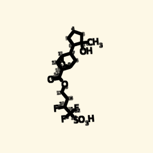 CC1(O)CCCC1C1CC2OC1CC2C(=O)OCCC(F)C(F)(F)S(=O)(=O)O